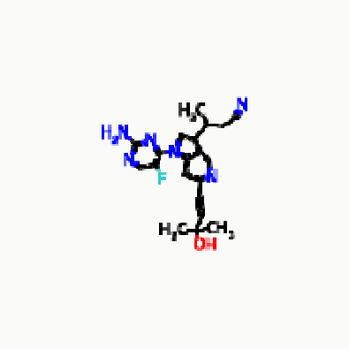 CC(CC#N)c1cn(-c2nc(N)ncc2F)c2cc(C#CC(C)(C)O)ncc12